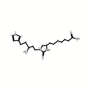 O=C(O)CCCCCCC1CN(CCC(O)CCc2ccsc2)C(=O)N1